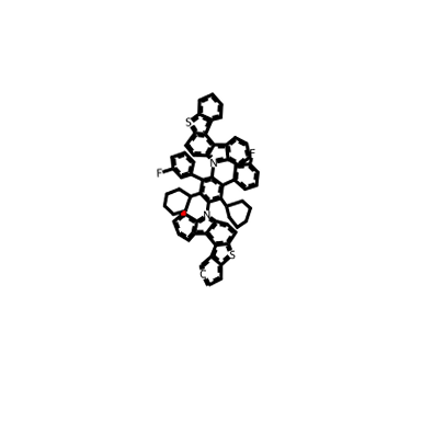 Fc1cccc(-c2c(C3CCCCC3)c(-n3c4ccccc4c4c5c(ccc43)sc3ccccc35)c(C3CCCCC3)c(-c3cccc(F)c3)c2-n2c3ccccc3c3c4c(ccc32)sc2ccccc24)c1